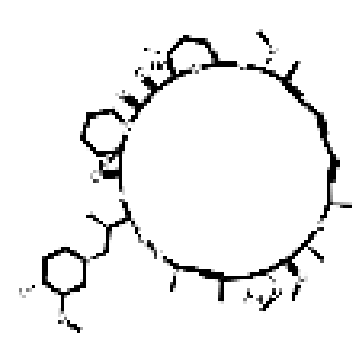 C/N=C1/[C@H](C)C[C@H](C)/C=C/C=C/C=C(\C)[C@@H](OC)C[C@@H]2CC[C@@H](C)[C@@](O)(O2)C(=O)C(=O)N2CCCC[C@H]2C(=O)O[C@H]([C@H](C)C[C@@H]2CC[C@@H](O)[C@H](OC)C2)CC[C@H](C)/C=C(\C)[C@@H](O)[C@H]1OC